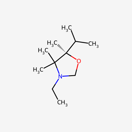 CCN1CO[C@](C)(C(C)C)C1(C)C